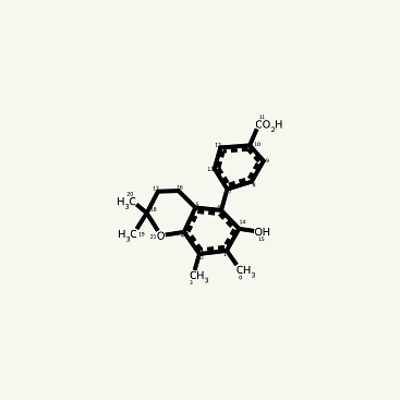 Cc1c(C)c2c(c(-c3ccc(C(=O)O)cc3)c1O)CCC(C)(C)O2